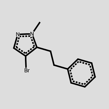 Cn1ncc(Br)c1CCc1ccccc1